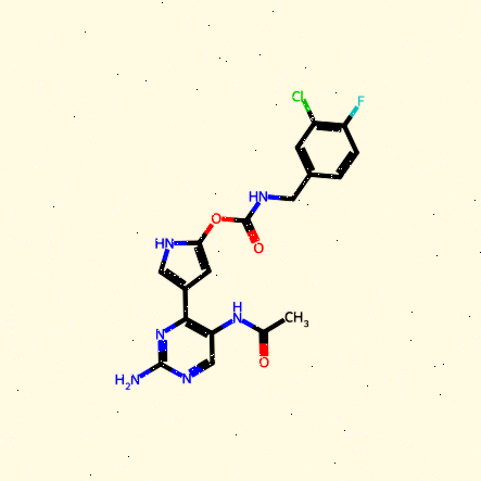 CC(=O)Nc1cnc(N)nc1-c1c[nH]c(OC(=O)NCc2ccc(F)c(Cl)c2)c1